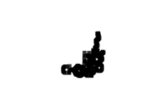 CCCCCn1c(C)cc(=O)c(C(=O)Nc2cc(Cl)ccc2Cl)c1C